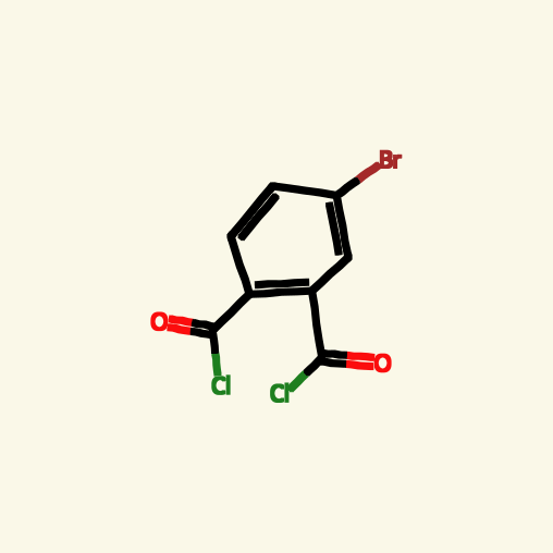 O=C(Cl)c1ccc(Br)cc1C(=O)Cl